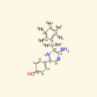 [2H]c1c([2H])c([2H])c(C([2H])([2H])c2nc(-c3ccc(O)cc3)cnc2N)c([2H])c1[2H]